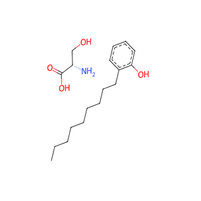 CCCCCCCCCc1ccccc1O.N[C@@H](CO)C(=O)O